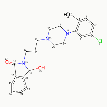 Cc1ccc(Cl)cc1N1CCN(CCCN2C(=O)c3ccccc3C2O)CC1